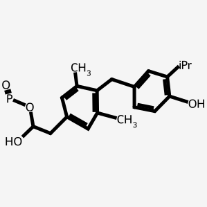 Cc1cc(CC(O)OP=O)cc(C)c1Cc1ccc(O)c(C(C)C)c1